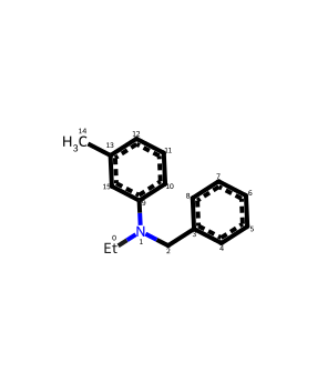 CCN(Cc1ccccc1)c1cccc(C)c1